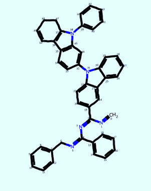 C=N/C(=N\C(=N/Cc1ccccc1)c1ccccc1)c1ccc2c(c1)c1ccccc1n2-c1ccc2c3c(n(-c4ccccc4)c2c1)CCC=C3